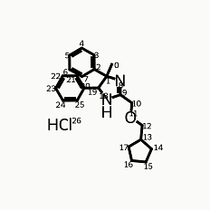 CC1(c2ccccc2)N=C(COCC2CCCC2)NC1c1ccccc1.Cl